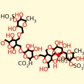 CC1OC(COCC2C(O)C(CO)OC(O)C2COC2OC(C(=O)O)C(OCC3OC(CO)C(O)C(COCC4OC(C)C(O)C(OS(=O)(=O)O)C4O)C3COC3OC(C(=O)O)=CC(O)C3O)C(O)C2O)C(O)C(OS(=O)(=O)O)C1O